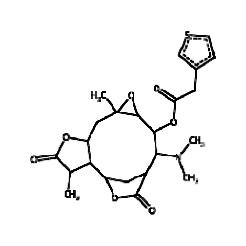 CC1C(=O)OC2CC3(C)OC3C(OC(=O)Cc3ccsc3)C(N(C)C)C3CC(OC3=O)C21